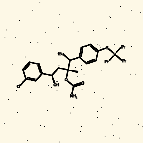 CC(C)[Si](Sc1ccc(C(C(C)(C)C)[C@@](C)(C[C@@H](O)c2cccc(Cl)c2)OC(N)=O)cc1)(C(C)C)C(C)C